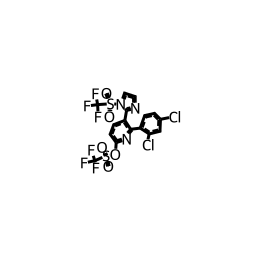 O=S(=O)(Oc1ccc(-c2nccn2S(=O)(=O)C(F)(F)F)c(-c2ccc(Cl)cc2Cl)n1)C(F)(F)F